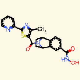 Cc1nc(-c2ccccn2)sc1C(=O)N1C2CCC1c1cc(C(=O)NO)ccc12